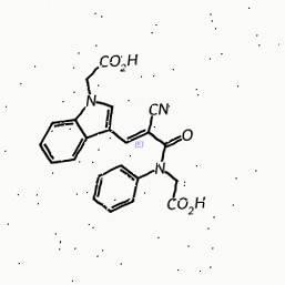 N#C/C(=C\c1cn(CC(=O)O)c2ccccc12)C(=O)N(CC(=O)O)c1ccccc1